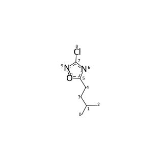 CC(C)CCc1nc(Cl)no1